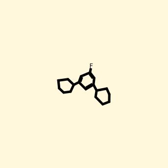 Fc1cc(C2CCCCC2)cc(C2CCCCC2)c1